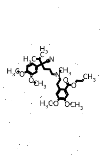 CCCOC(=O)c1cc(OC)c(OC)cc1CCN(C)CCCC(C#N)(c1ccc(OC)c(OC)c1)C(C)C